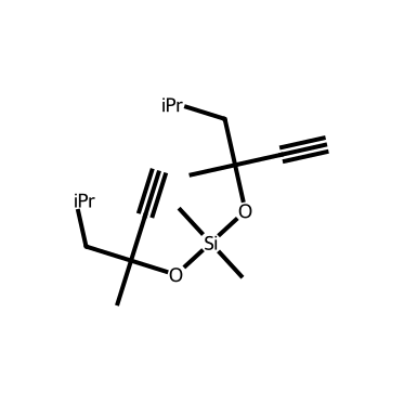 C#CC(C)(CC(C)C)O[Si](C)(C)OC(C)(C#C)CC(C)C